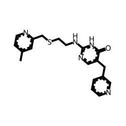 Cc1ccnc(CSCCNc2ncc(Cc3cccnc3)c(=O)[nH]2)c1